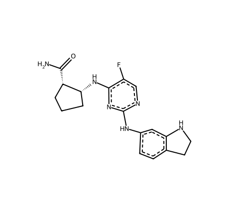 NC(=O)[C@H]1CCC[C@H]1Nc1nc(Nc2ccc3c(c2)NCC3)ncc1F